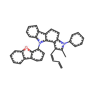 C=C/C=C\c1c(C)n(-c2ccccc2)c2ccc3c4ccccc4n(-c4cccc5c4oc4ccccc45)c3c12